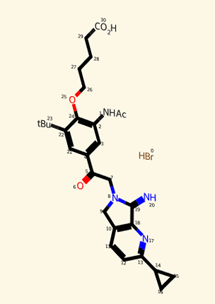 Br.CC(=O)Nc1cc(C(=O)CN2Cc3ccc(C4CC4)nc3C2=N)cc(C(C)(C)C)c1OCCCCC(=O)O